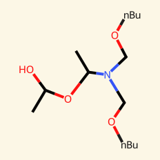 CCCCOCN(COCCCC)C(C)OC(C)O